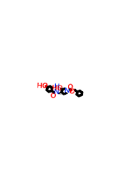 O=C(NC[C@@H]1CCN(C(=O)OCc2ccccc2)C[C@@H]1O)c1ccc(O)cc1